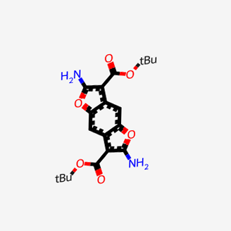 CC(C)(C)OC(=O)c1c(N)oc2cc3c(C(=O)OC(C)(C)C)c(N)oc3cc12